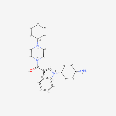 N[C@H]1CC[C@H](n2cc(C(=O)N3CCN(C4CCCCC4)CC3)c3ccccc32)CC1